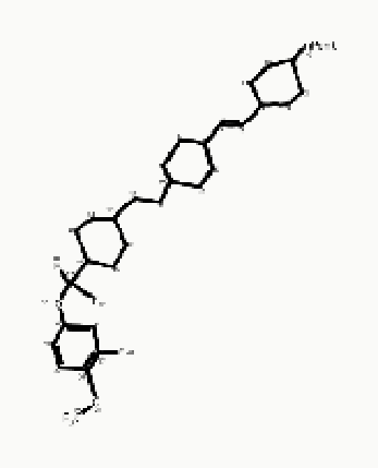 CCCCCC1CCC(/C=C/C2CCC(CCC3CCC(C(F)(F)Oc4ccc(OC(F)(F)F)c(F)c4)CC3)CC2)CC1